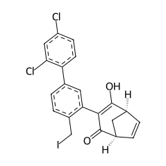 O=C1C(c2cc(-c3ccc(Cl)cc3Cl)ccc2CI)=C(O)[C@H]2C=C[C@@H]1C2